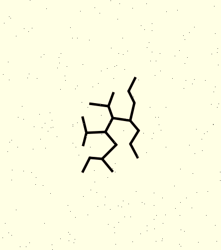 CCCC(CCC)C(C(C)C)C(CC(C)CC)C(C)C